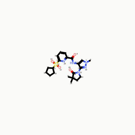 Cn1cc(NC(=O)c2cccc(S(=O)(=O)C3CCCC3)n2)c(N2CCC(C)(C)C2=O)n1